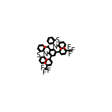 CC(C)c1c(N2c3ccccc3Sc3ccccc32)c(-c2ccc(C(F)(F)F)cc2)cc(-c2ccc(C(F)(F)F)cc2)c1N1c2ccccc2Sc2ccccc21